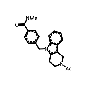 CNC(=O)c1ccc(Cn2c3c(c4ccccc42)CN(C(C)=O)CC3)cc1